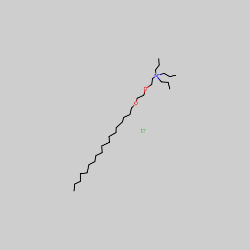 CCCCCCCCCCCCCCCCCCOCCOCC[N+](CCC)(CCC)CCC.[Cl-]